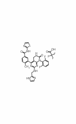 Cc1ccc(C(=O)Nc2nccs2)cc1-c1nc(NCc2ncc[nH]2)nc2c1CNC(=O)N2c1c(F)cccc1F.O=C(O)C(F)(F)F